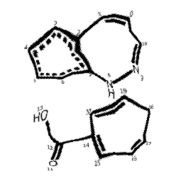 C1=Cc2ccccc2NN=C1.O=C(O)C1=CC=CCC=C1